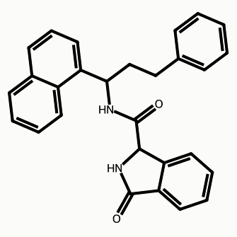 O=C1NC(C(=O)NC(CCc2ccccc2)c2cccc3ccccc23)c2ccccc21